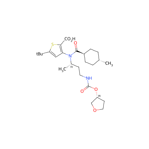 C[C@@H](CCNC(=O)O[C@@H]1CCOC1)N(c1cc(C(C)(C)C)sc1C(=O)O)C(=O)[C@H]1CC[C@H](C)CC1